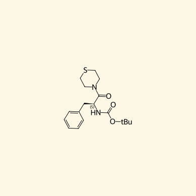 CC(C)(C)OC(=O)N[C@@H](Cc1ccccc1)C(=O)N1CCSCC1